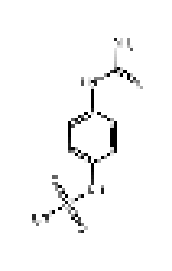 NC(=O)Nc1ccc(NS(N)(=O)=O)cc1